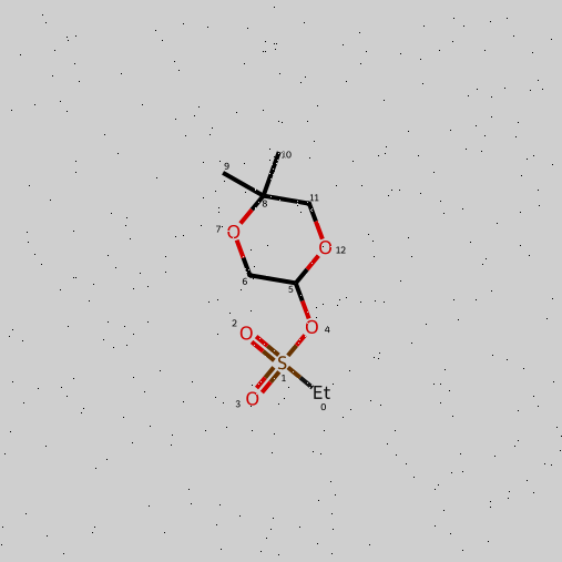 CCS(=O)(=O)OC1COC(C)(C)CO1